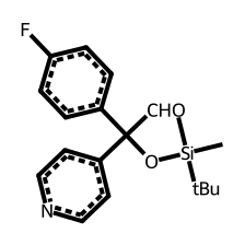 CC(C)(C)[Si](C)(C)OC(C=O)(c1ccncc1)c1ccc(F)cc1